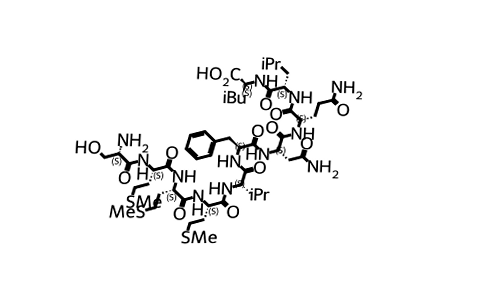 CC[C@H](C)[C@H](NC(=O)[C@H](CC(C)C)NC(=O)[C@H](CCC(N)=O)NC(=O)[C@H](CC(N)=O)NC(=O)[C@H](Cc1ccccc1)NC(=O)[C@@H](NC(=O)[C@H](CCSC)NC(=O)[C@H](CCSC)NC(=O)[C@H](CCSC)NC(=O)[C@@H](N)CO)C(C)C)C(=O)O